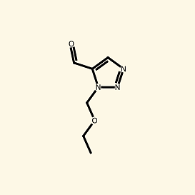 CCOCn1nncc1C=O